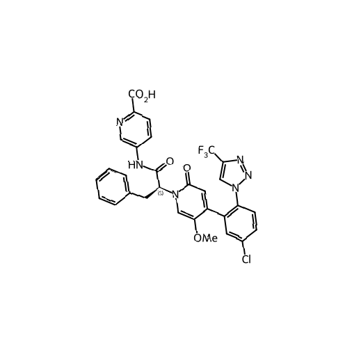 COc1cn([C@@H](Cc2ccccc2)C(=O)Nc2ccc(C(=O)O)nc2)c(=O)cc1-c1cc(Cl)ccc1-n1cc(C(F)(F)F)nn1